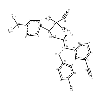 C[C@H](NC(c1ccc([S+](C)[O-])cc1)C(C)(C)C#N)[C@@H](Cc1ccc(Cl)cc1)c1cccc(C#N)c1